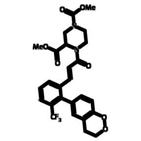 COC(=O)C1CN(C(=O)OC)CCN1C(=O)/C=C/c1cc[c]c(C(F)(F)F)c1-c1ccc2c(c1)CCOO2